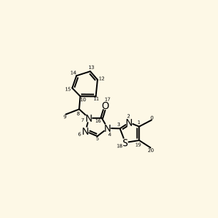 Cc1nc(-n2cnn(C(C)c3ccccc3)c2=O)sc1C